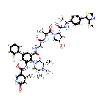 Cc1ncsc1-c1ccc([C@H](C)NC(=O)[C@@H]2C[C@@H](O)CN2C(=O)C(NC(=O)CNC(=O)c2cc(-c3ccccc3F)cc(NC(=O)c3c[nH]c(=O)cc3C(F)(F)F)c2N2C[C@@H](C)N(C)[C@@H](C)C2)C(C)(C)C)cc1